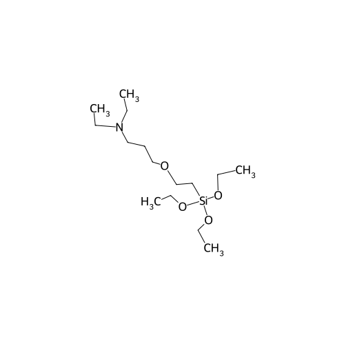 CCO[Si](CCOCCCN(CC)CC)(OCC)OCC